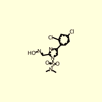 CN(C)S(=O)(=O)n1cc(-c2ccc(Cl)cc2Cl)nc1C=NO